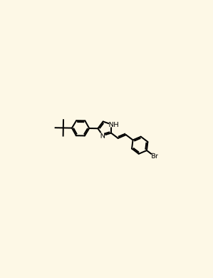 CC(C)(C)c1ccc(-c2c[nH]c(/C=C/c3ccc(Br)cc3)n2)cc1